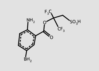 Bc1ccc(N)c(C(=O)OC(CS(=O)(=O)O)(C(F)(F)F)C(F)(F)F)c1